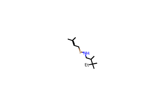 CCC(C)(C)C(C)CNSCC=C(C)C